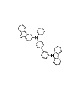 c1ccc(N(c2ccc(-c3cccc(-n4c5ccccc5c5ccccc54)c3)cc2)c2ccc3sc4ccccc4c3c2)cc1